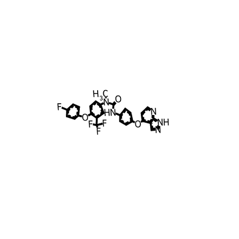 CN(C(=O)Nc1ccc(Oc2ccnc3[nH]ncc23)cc1)c1ccc(Oc2ccc(F)cc2)c(C(F)(F)F)c1